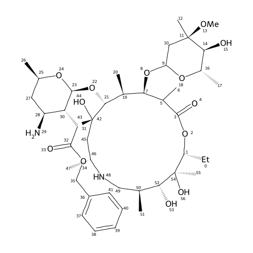 CC[C@H]1OC(=O)C(C)[C@H](OC2C[C@@](C)(OC)[C@@H](O)[C@H](C)O2)[C@H](C)[C@@H](O[C@@H]2O[C@H](C)C[C@H](N)[C@H]2CC(=O)OCc2ccccc2)[C@@](C)(O)C[C@@H](C)NC[C@H](C)[C@@H](O)[C@]1(C)O